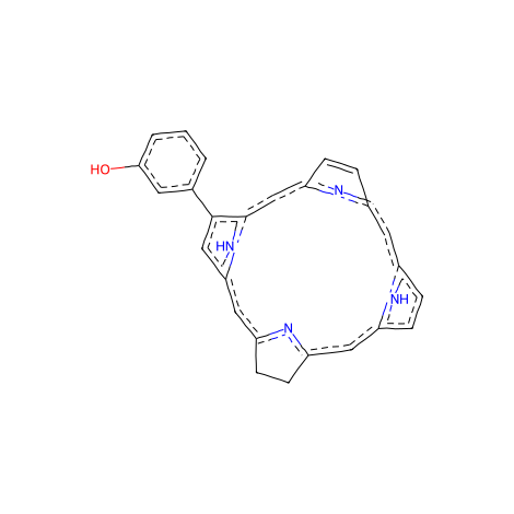 Oc1cccc(-c2cc3cc4nc(cc5ccc(cc6nc(cc2[nH]3)C=C6)[nH]5)CC4)c1